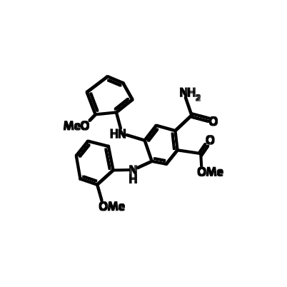 COC(=O)c1cc(Nc2ccccc2OC)c(Nc2ccccc2OC)cc1C(N)=O